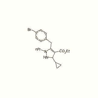 CCCN1NC(C2CC2)C(C(=O)OCC)=C1Cc1ccc(Br)cc1